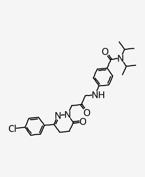 CC(C)N(C(=O)c1ccc(NCC(=O)CN2N=C(c3ccc(Cl)cc3)CCC2=O)cc1)C(C)C